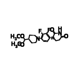 COC(OC)C1CCN(c2ccc([C@H]3CCC(=O)NC3=O)c(F)c2F)CC1